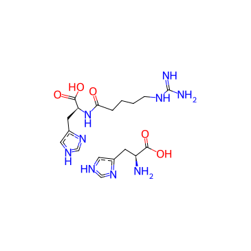 N=C(N)NCCCCC(=O)N[C@@H](Cc1c[nH]cn1)C(=O)O.N[C@@H](Cc1c[nH]cn1)C(=O)O